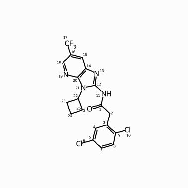 O=C(Cc1cc(Cl)ccc1Cl)Nc1nc2cc(C(F)(F)F)cnc2n1C1CCC1